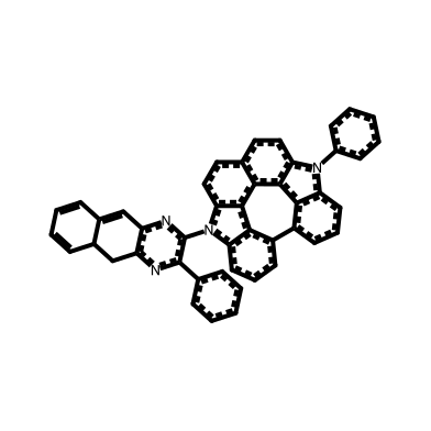 C1=CC2=Cc3nc(-n4c5cccc6c5c5c7c(ccc8c7c7c-6cccc7n8-c6ccccc6)ccc54)c(-c4ccccc4)nc3CC2C=C1